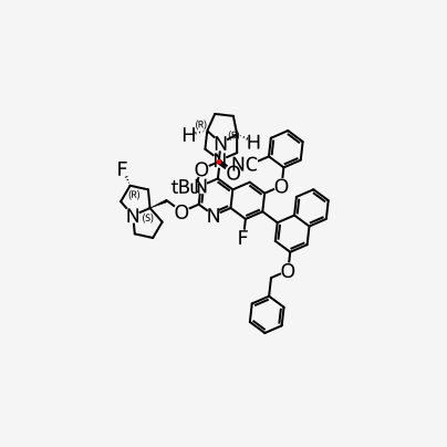 CC(C)(C)OC(=O)N1[C@@H]2CC[C@H]1CN(c1nc(OC[C@@]34CCCN3C[C@H](F)C4)nc3c(F)c(-c4cc(OCc5ccccc5)cc5ccccc45)c(Oc4ccccc4C#N)cc13)C2